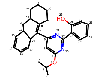 CC(C)Oc1cc(C2=C3CCCCC3CC3C=CC=CC23)nc(-c2ccccc2O)n1